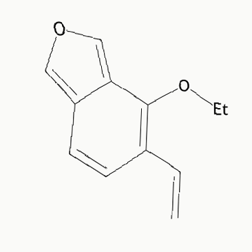 C=Cc1ccc2cocc2c1OCC